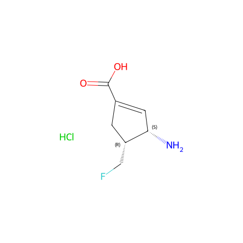 Cl.N[C@H]1C=C(C(=O)O)C[C@H]1CF